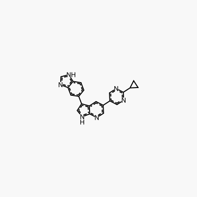 c1nc2cc(-c3c[nH]c4ncc(-c5cnc(C6CC6)nc5)cc34)ccc2[nH]1